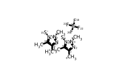 Cc1nn(C)[n+]([S-])c1C.Cc1nn(C)[n+]([S-])c1C.F[B-](F)(F)F